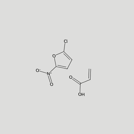 C=CC(=O)O.O=[N+]([O-])c1ccc(Cl)o1